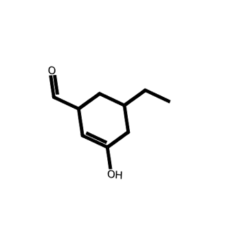 CCC1CC(O)=CC(C=O)C1